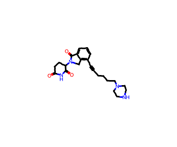 O=C1CCC(N2Cc3c(C#CCCCCN4CCNCC4)cccc3C2=O)C(=O)N1